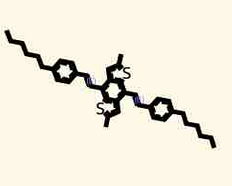 CCCCCCc1ccc(/C=C/c2c3cc(C)sc3c(/C=C/c3ccc(CCCCCC)cc3)c3cc(C)sc23)cc1